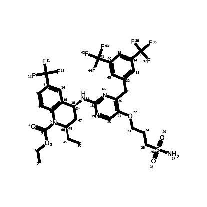 CCOC(=O)N1c2ccc(C(F)(F)F)cc2[C@@H](Nc2ncc(OCCCS(N)(=O)=O)c(Cc3cc(C(F)(F)F)cc(C(F)(F)F)c3)n2)C[C@H]1CC